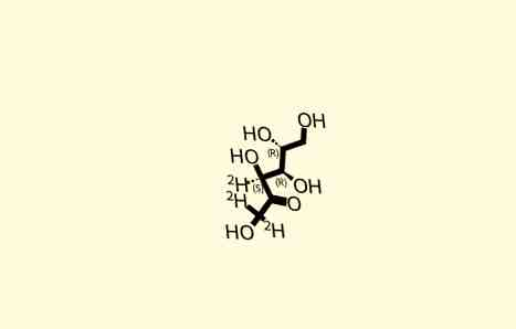 [2H]C([2H])(O)C(=O)[C@@]([2H])(O)[C@H](O)[C@H](O)CO